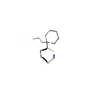 NCCC1(c2ccccn2)CCCCC1